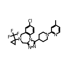 Cc1ccnc(N2CCC(c3nnc4n3-c3ccc(Cl)cc3CN(C3(C(F)(F)F)CC3)C4)CC2)c1